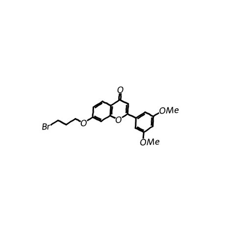 COc1cc(OC)cc(-c2cc(=O)c3ccc(OCCCBr)cc3o2)c1